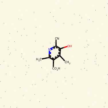 Cc1nc(C#N)c(O)c(C)c1C(=O)O